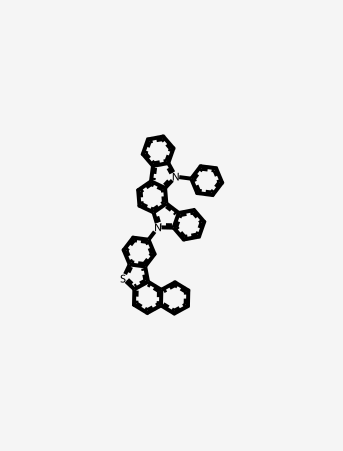 c1ccc(-n2c3ccccc3c3ccc4c(c5ccccc5n4-c4ccc5sc6ccc7ccccc7c6c5c4)c32)cc1